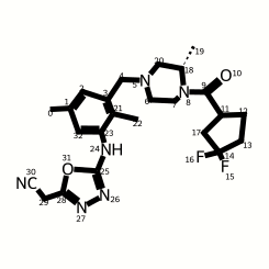 Cc1cc(CN2CCN(C(=O)C3CCC(F)(F)C3)[C@@H](C)C2)c(C)c(Nc2nnc(CC#N)o2)c1